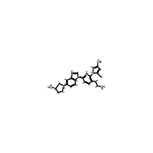 Cc1cc(C#N)nn1-c1nc(-n2cnc3cc(N4CC[C@@H](O)C4)ccc32)ccc1CCO